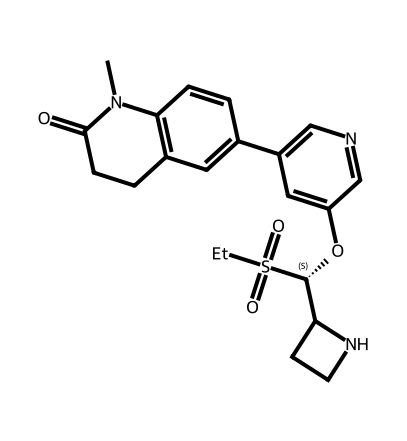 CCS(=O)(=O)[C@H](Oc1cncc(-c2ccc3c(c2)CCC(=O)N3C)c1)C1CCN1